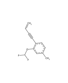 C=CC#Cc1ccc(C)cc1OC(F)F